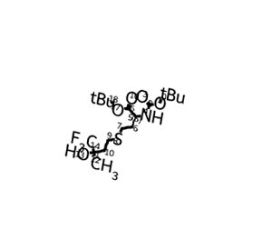 CC(C)(C)OC(=O)N[C@@H](CCSCCC(C)(O)C(F)(F)F)C(=O)OC(C)(C)C